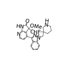 COC1(C)C(=O)Nc2nccc(-c3nn(CC4(F)CCCNC4)c4ccccc34)c21